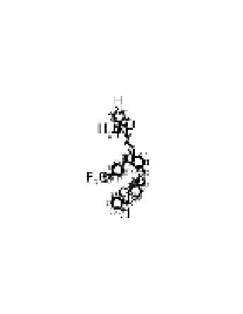 NC1(C(=O)NCCCn2cc(-c3ccc(OC(F)(F)F)cc3)c3cc(CN4CC5(CCN(Cc6c(Cl)cccc6Cl)CC5)C4)ccc32)CCNCC1